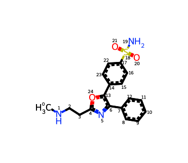 CNCCc1nc(-c2ccccc2)c(-c2ccc(S(N)(=O)=O)cc2)o1